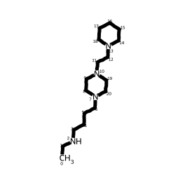 CCNCCCCN1CCN(CCN2CCCCC2)CC1